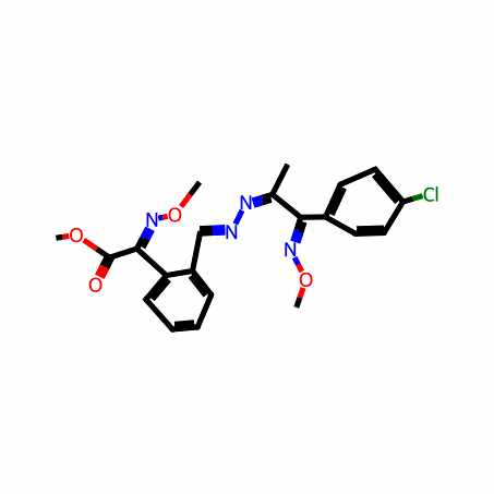 CON=C(C(C)=NN=Cc1ccccc1C(=NOC)C(=O)OC)c1ccc(Cl)cc1